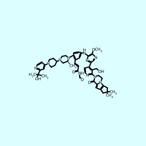 COc1ncc(-c2ccnc(N3CCn4c(cc5c4CC(C)(C)C5)C3=O)c2CO)nc1Nc1ccc(N2CCN(C3CCN(c4ccnc(C(C)(C)O)c4)CC3)C[C@@H]2C)c(C=CC(=O)NC=O)c1